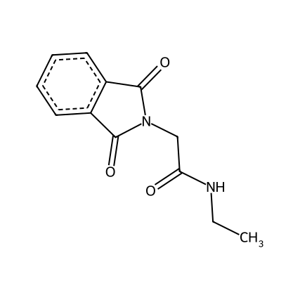 CCNC(=O)CN1C(=O)c2ccccc2C1=O